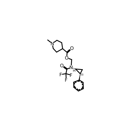 CN1CCC(C(=O)OCN(C(=O)C(F)(F)F)[C@@H]2C[C@H]2c2ccccc2)CC1